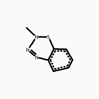 CN1N=Nc2ccccc2S1